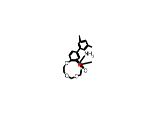 Cc1cc(C)cc(-c2ccc3c(c2)[C@]2(CCCCOCCO3)N=C(N)N(C)C2=O)c1